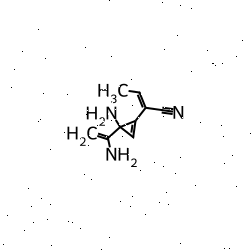 C=C(N)C1(N)C=C1/C(C#N)=C\C